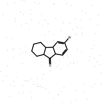 O=C1C2C=CC(Br)=CC2C2CCCCC12